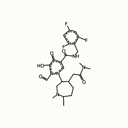 CC1CCC(CC(=O)N(C)C)C(n2cc(C(=O)NCc3c(F)cc(F)cc3F)c(=O)c(O)c2C=O)CN1C